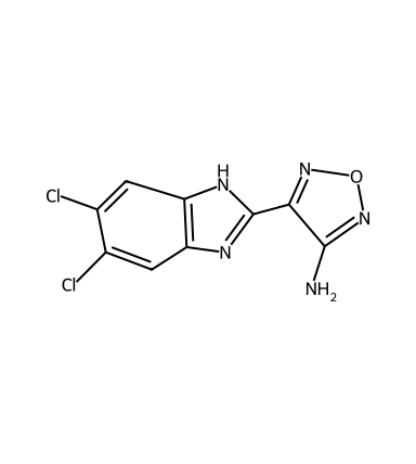 Nc1nonc1-c1nc2cc(Cl)c(Cl)cc2[nH]1